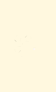 CC/C=C/CC[P+](c1ccccc1)(c1ccccc1)c1ccccc1.[Br-]